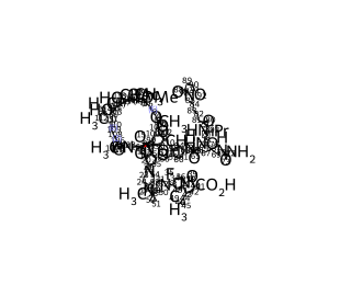 CO[C@H]1/C=C/O[C@@]2(C)Oc3c(C)c(O)c4c(=O)c(c5oc6cc(N7CCC(N(C)C8([C@H]9CCN(c%10c(F)cn%11c(=O)c(C(=O)O)cc(C%12CC%12)c%11c%10C)C9)CC8)CC7)cc(OCc7ccc(NC(=O)[C@H](CCCNC(N)=O)NC(=O)[C@@H](NC(=O)CCCCCN8C(=O)C=CC8=O)C(C)C)cc7)c6nc-5c4c3C2=O)NC(=O)/C(C)=C\C=C\[C@H](C)[C@H](O)[C@@H](C)[C@@H](O)[C@@H](C)[C@H](OC(C)=O)[C@@H]1C